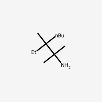 CCCCC(C)(CC)C(C)(C)N